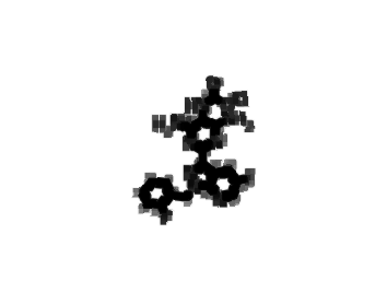 Nc1nc(-c2nn(Cc3ccccc3F)c3ncc(F)cc23)nc(N)c1NC(=O)OCl